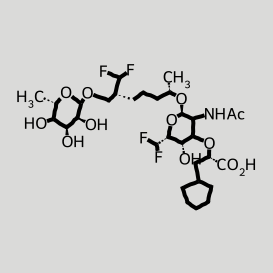 CC(=O)NC1C(O[C@@H](CC2CCCCC2)C(=O)O)[C@H](O)[C@H](C(F)F)O[C@H]1O[C@@H](C)CCC[C@H](COC1O[C@@H](C)C(O)[C@H](O)[C@@H]1O)C(F)F